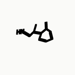 C=c1cccc/c1=C(/C)C=N